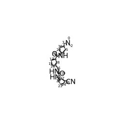 CN(C)Cc1ccc(NC(=O)c2cccc(CNC(=O)Nc3cccc(C#N)c3)c2)cc1